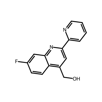 OCc1cc(-c2ccccn2)nc2cc(F)ccc12